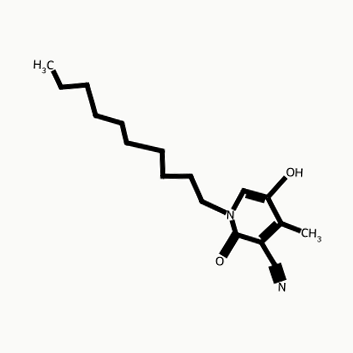 CCCCCCCCCCn1cc(O)c(C)c(C#N)c1=O